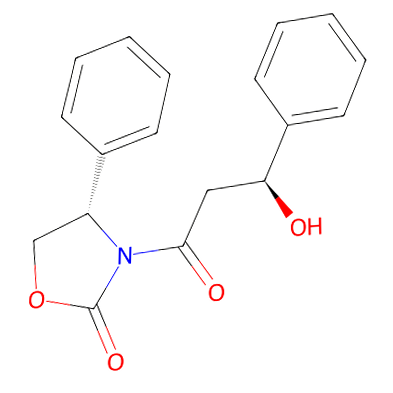 O=C(C[C@H](O)c1ccccc1)N1C(=O)OC[C@@H]1c1ccccc1